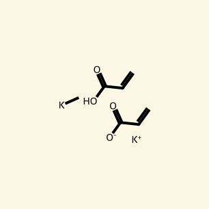 C=CC(=O)O.C=CC(=O)[O-].[CH3][K].[K+]